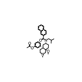 CO[C@]12CC[C@@H](N(CC(C)C)C(=O)c3ccc4ccccc4c3)C[C@]1(c1cccc(OC(C)=O)c1)CCN(C)C2